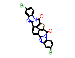 O=c1c2sc3c(=O)n4c5ccc(Br)cc5nc4c4ccc(c2c34)c2nc3cc(Br)ccc3n12